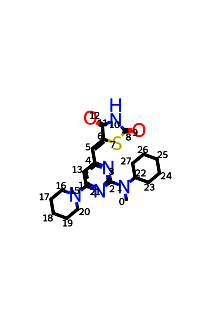 CN(c1nc(/C=C2\SC(=O)NC2=O)cc(N2CCCCC2)n1)C1CCCCC1